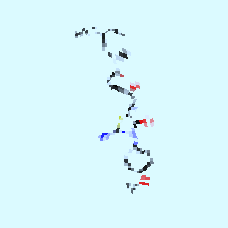 N=C1S/C(=C\c2ccc(-c3cccc(C(=O)O)c3)o2)C(=O)N1c1ccc(OC(F)(F)F)cc1